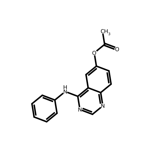 CC(=O)Oc1ccc2ncnc(Nc3ccccc3)c2c1